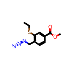 CCSc1cc(C(=O)OC)ccc1CN=[N+]=[N-]